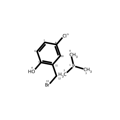 CP(C)C.Oc1ccc(Cl)cc1CBr